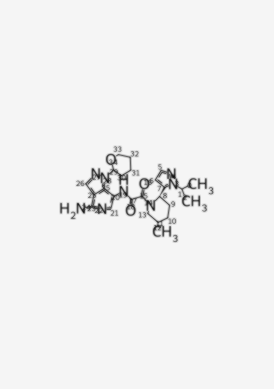 CC(C)n1nccc1[C@H]1CC[C@H](C)CN1C(=O)C(=O)Nc1cnc(N)c2cnn(C3CCCCO3)c12